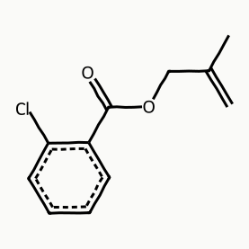 C=C(C)COC(=O)c1ccccc1Cl